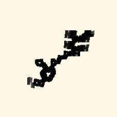 CCC(C)NC(=N)NC(=N)NOCCCOc1ccc(OC(F)(F)F)cc1Cl